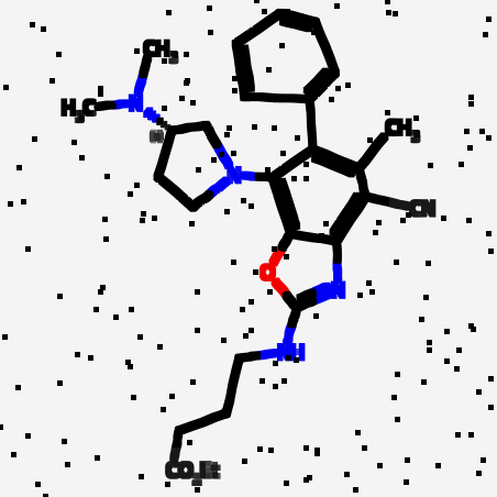 CCOC(=O)CCCNc1nc2c(C#N)c(C)c(-c3ccccc3)c(N3CC[C@H](N(C)C)C3)c2o1